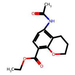 CCOC(=O)c1ccc(NC(C)=O)c2c1OCCC2